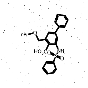 CCCOCc1cc(-c2ccccc2)cc(NS(=O)(=O)c2ccccc2)c1C(=O)O